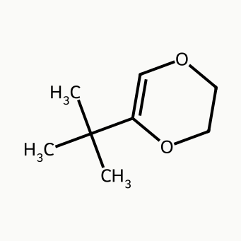 CC(C)(C)C1=COCCO1